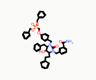 NC(=O)c1cccc(CN2C(=O)N(Cc3ccc(OCP(=O)(OCc4ccccc4)OCc4ccccc4)cc3)C(Cc3ccccc3)C(O)C2CCc2ccccc2)c1